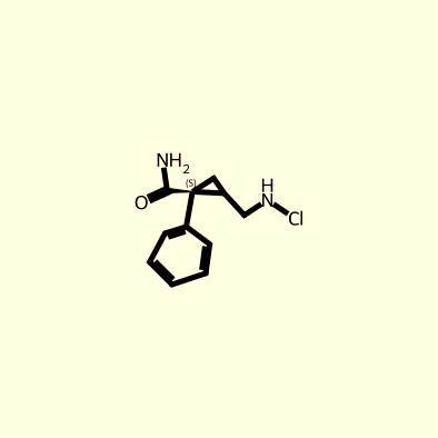 NC(=O)[C@@]1(c2ccccc2)CC1CNCl